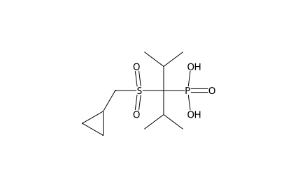 CC(C)C(C(C)C)(P(=O)(O)O)S(=O)(=O)CC1CC1